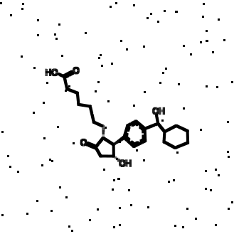 O=C(O)CCCCCC[C@H]1C(=O)C[C@@H](O)[C@@H]1c1ccc(C(O)C2CCCCC2)cc1